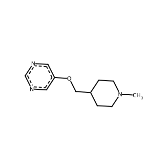 CN1CCC(COc2cncnc2)CC1